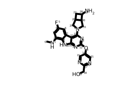 CNc1cc(F)cc2c1[nH]c1nc(Oc3cnc(CO)nc3)nc(N3CC4CC(N)C4C3)c12